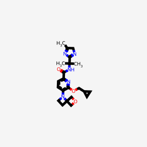 CC1=NC(C(C)(C)NC(=O)c2ccc(N3CCC34COC4)c(OCC3CC3)n2)=NC1